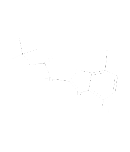 CC(C)(C)OC(=O)Nc1nc2c(O)ccc(F)c2s1